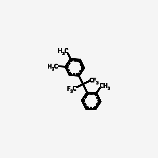 Cc1ccc(C(c2ccccc2C)(C(F)(F)F)C(F)(F)F)cc1C